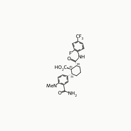 CNc1ccc([C@H]2CCC[C@@H](C(=O)Nc3ccc(C(F)(F)F)cc3F)[C@@H]2C(=O)O)cc1C(N)=O